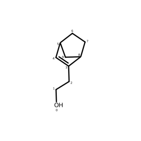 OCCC1=CC2CCC1C2